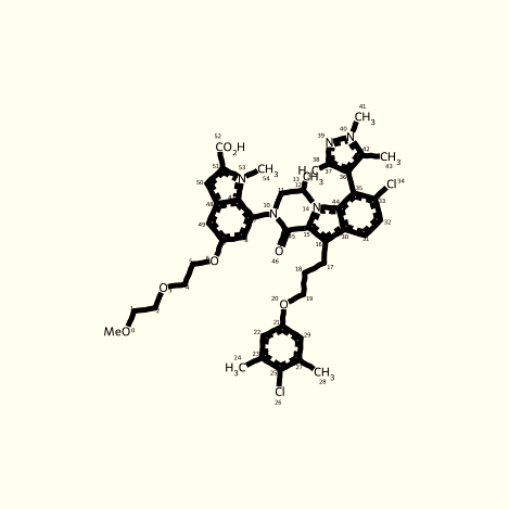 COCCOCCOc1cc(N2CC(C)n3c(c(CCCOc4cc(C)c(Cl)c(C)c4)c4ccc(Cl)c(-c5c(C)nn(C)c5C)c43)C2=O)c2c(c1)cc(C(=O)O)n2C